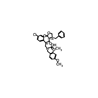 COc1ccc(CN(C[C@H](C(=O)N2C(=O)OC[C@H]2Cc2ccccc2)c2ccc(Cl)cc2)C(=O)O)c(OC)c1